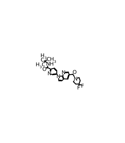 CC(C)(C)NC(=O)c1ccc(-n2ccc3cc(C(=O)N4CCC(F)(F)CC4)cnc32)cn1